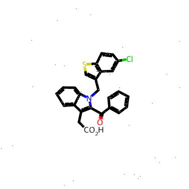 O=C(O)Cc1c(C(=O)c2ccccc2)n(Cc2csc3ccc(Cl)cc23)c2ccccc12